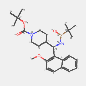 COc1ccc2ccccc2c1[C@H](N[S+]([O-])C(C)(C)C)C1CCN(C(=O)OC(C)(C)C)CC1